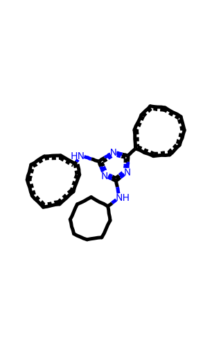 c1ccccc(Nc2nc(NC3CCCCCCC3)nc(-c3ccccccccc3)n2)cccc1